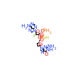 Nc1nc2c(ncn2[C@H]2CC[C@@H](CO[P@@](=O)(S)O[C@H]3[C@@H](F)[C@H](n4cnc5c(N)ncnc54)O[C@@H]3COP)O2)c(=O)[nH]1